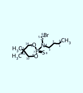 CCCCN(SBr)P1(=S)OCC(C)(C)CO1